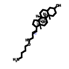 C[C@]12CCC(O)CC1CC[C@@H]1[C@H]2CC[C@]2(C)C(/C=C/CNOCCCCN)CC[C@@]12O